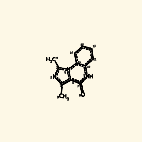 Cc1nc(C)n2c1c(=O)[nH]c1ccccc12